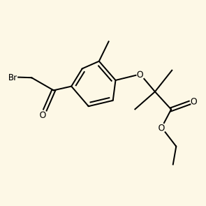 CCOC(=O)C(C)(C)Oc1ccc(C(=O)CBr)cc1C